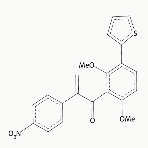 C=C(C(=O)c1c(OC)ccc(-c2cccs2)c1OC)c1ccc([N+](=O)[O-])cc1